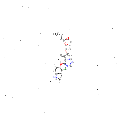 Cc1cc2c(F)c(Oc3ncnn4cc(OC[C@@H](C)OC(=O)CCC(=O)O)c(C)c34)ccc2[nH]1